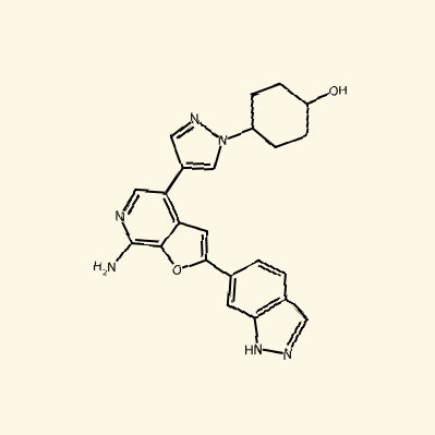 Nc1ncc(-c2cnn(C3CCC(O)CC3)c2)c2cc(-c3ccc4cn[nH]c4c3)oc12